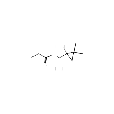 CCC(=O)OCC1(N)CC1(C)C.Cl